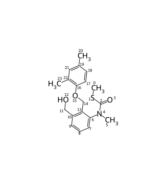 CSC(=O)N(C)c1cccc(CO)c1COc1ccc(C)cc1C